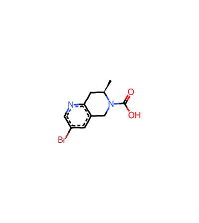 C[C@@H]1Cc2ncc(Br)cc2CN1C(=O)O